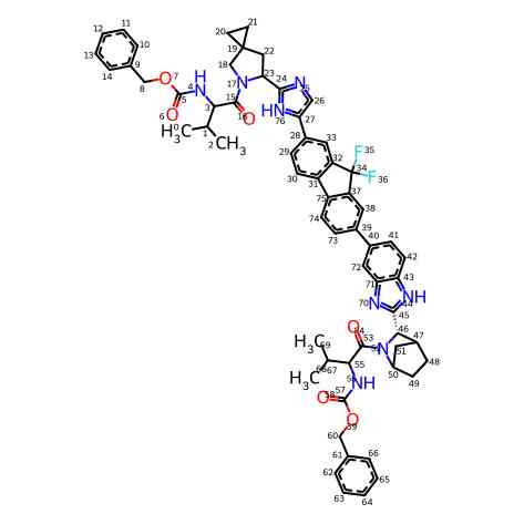 CC(C)C(NC(=O)OCc1ccccc1)C(=O)N1CC2(CC2)CC1c1ncc(-c2ccc3c(c2)C(F)(F)c2cc(-c4ccc5[nH]c([C@@H]6C7CCC(C7)N6C(=O)C(NC(=O)OCc6ccccc6)C(C)C)nc5c4)ccc2-3)[nH]1